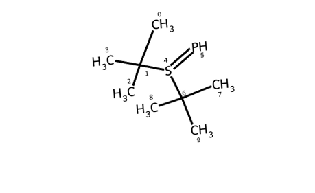 CC(C)(C)S(=P)C(C)(C)C